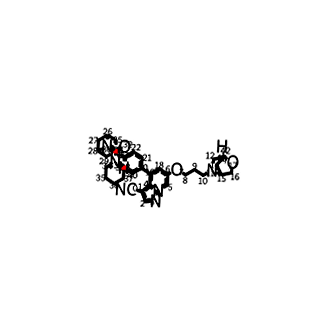 N#Cc1cnn2cc(OCCCN3C[C@@H]4CC3CO4)cc(-c3ccc(N4CC5CC(C4)N5C(=O)N4CCCCC4)nc3)c12